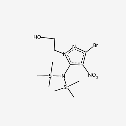 C[Si](C)(C)N(c1c([N+](=O)[O-])c(Br)nn1CCO)[Si](C)(C)C